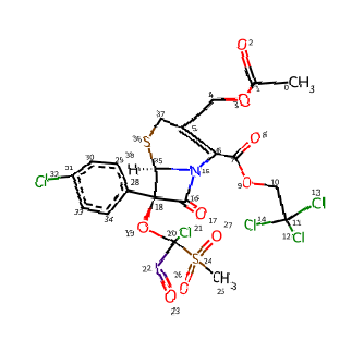 CC(=O)OCC1=C(C(=O)OCC(Cl)(Cl)Cl)N2C(=O)[C@](OC(Cl)(I=O)S(C)(=O)=O)(c3ccc(Cl)cc3)[C@H]2SC1